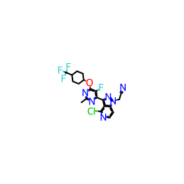 Cc1nc(OC2CCC(C(F)(F)F)CC2)c(F)c(-c2nn(CC#N)c3ccnc(Cl)c23)n1